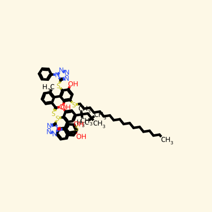 CCCCCCCCCCCCCCCCCCSc1cc(O)c(Sc2nnnn2-c2ccccc2)c(-c2c(C)cccc2C(=S)Oc2cc(C(C)(C)CC(C)(C)C)c(O)c(-c3ccccc3C(O)=S)c2Sc2nnnn2-c2ccccc2)c1O